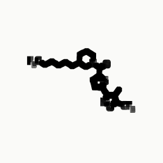 Cc1c(-c2ccc(C(=O)N3CCCC(CCCCCC(F)(F)F)C3)s2)noc1C(F)(F)F